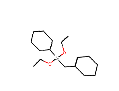 CCO[Si](CC1CCCCC1)(OCC)C1CCCCC1